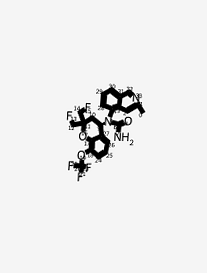 Cc1cc2c(N(C(N)=O)[C@@H]3CC(CF)(CF)Oc4c(OC(F)(F)F)cccc43)cccc2cn1